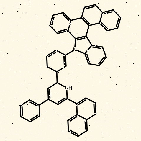 C1=CC(n2c3ccccc3c3c4c5ccccc5ccc4c4ccccc4c32)=CC(C2C=C(c3ccccc3)C=C(c3cccc4ccccc34)N2)C1